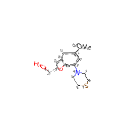 COc1cc(N2CCSCC2)c2oc(CO)cc2c1